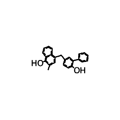 Cc1cc(Cc2ccc(O)c(-c3ccccc3)c2)c2ccccc2c1O